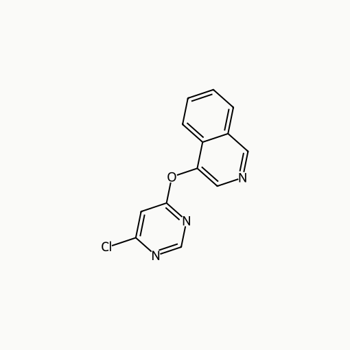 Clc1cc(Oc2cncc3ccccc23)ncn1